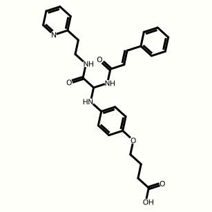 O=C(O)CCCOc1ccc(NC(NC(=O)C=Cc2ccccc2)C(=O)NCCc2ccccn2)cc1